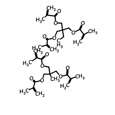 C=C(C)C(=O)OCC(C)(COC(=O)C(=C)C)COC(=O)C(=C)C.C=C(C)C(=O)OCC(CC)(COC(=O)C(=C)C)COC(=O)C(=C)C